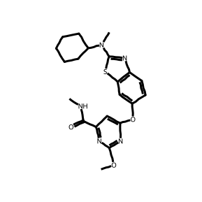 CNC(=O)c1cc(Oc2ccc3nc(N(C)C4CCCCC4)sc3c2)nc(OC)n1